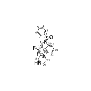 [O-][S+](c1ccccc1)n1cc(C(F)F)c2c(N3CCNCC3)cccc21